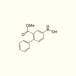 COC(=O)c1cc(BO)ccc1-c1ccccc1